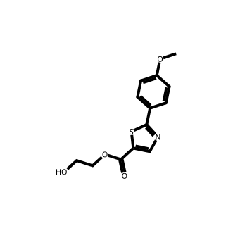 COc1ccc(-c2ncc(C(=O)OCCO)s2)cc1